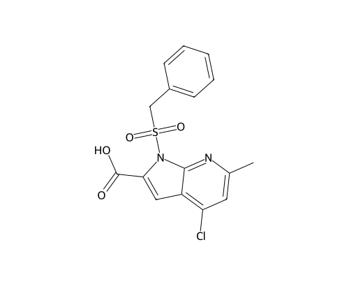 Cc1cc(Cl)c2cc(C(=O)O)n(S(=O)(=O)Cc3ccccc3)c2n1